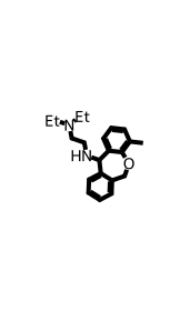 CCN(CC)CCNC1c2ccccc2COc2c(C)cccc21